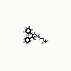 CN(C)CCSc1nc(-c2ccccc2)c(-c2ccccc2)o1